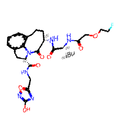 CC[C@H](C)[C@H](NC(=O)COCCF)C(=O)N[C@H]1CCc2cccc3c2N(C1=O)[C@H](C(=O)NCc1nc(O)no1)C3